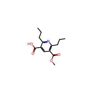 CCCc1nc(CCC)c(C(=O)OC)cc1C(=O)O